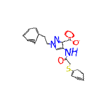 COC(=O)c1nn(CCc2ccccc2)cc1NC(=O)CSc1ccccc1